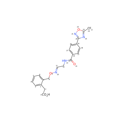 O=C(O)Cc1ccccc1CON=CCNC(=O)c1ccc(-c2noc(C(F)(F)F)n2)cc1